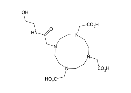 O=C(O)CN1CCN(CC(=O)O)CCN(CC(=O)NCCO)CCN(CC(=O)O)CC1